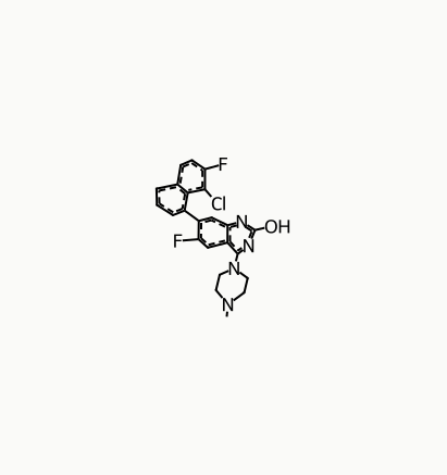 CN1CCN(c2nc(O)nc3cc(-c4cccc5ccc(F)c(Cl)c45)c(F)cc23)CC1